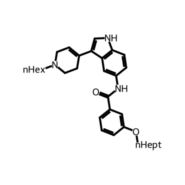 CCCCCCCOc1cccc(C(=O)Nc2ccc3[nH]cc(C4=CCN(CCCCCC)CC4)c3c2)c1